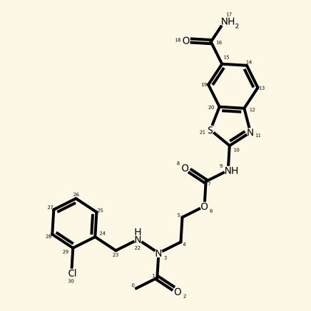 CC(=O)N(CCOC(=O)Nc1nc2ccc(C(N)=O)cc2s1)NCc1ccccc1Cl